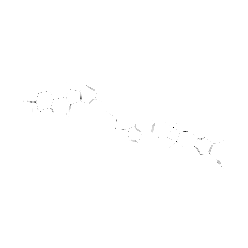 CC1(C)[C@H](NC(=O)c2ccn(CCCOc3ccc4c(c3)C(=O)N(C3CCC(=O)NC3=O)C4O)n2)C(C)(C)[C@H]1Oc1ccc(C#N)c(Cl)c1